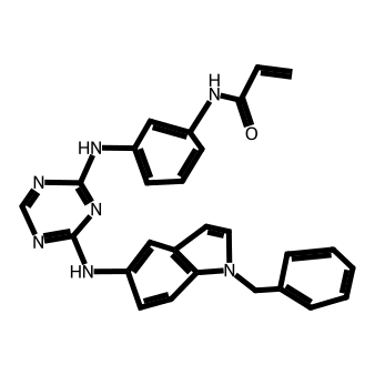 C=CC(=O)Nc1cccc(Nc2ncnc(Nc3ccc4c(ccn4Cc4ccccc4)c3)n2)c1